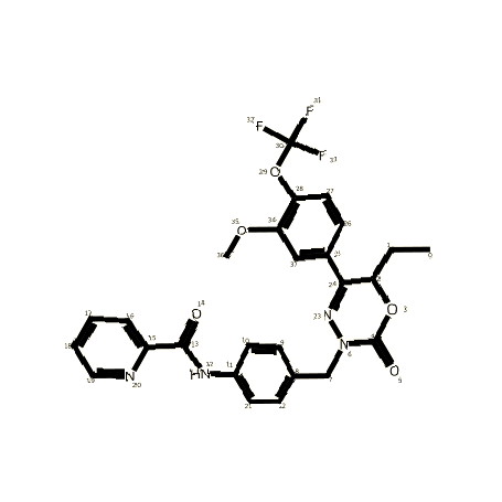 CCC1OC(=O)N(Cc2ccc(NC(=O)c3ccccn3)cc2)N=C1c1ccc(OC(F)(F)F)c(OC)c1